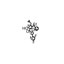 CCN(c1ccccc1)c1c(CC2CC2)nc(O)c(C(=O)N2CCC(c3ncc(F)cc3F)C2)c1O